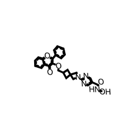 O=C(NO)c1cnc(N2CC3(CC(COc4c(-c5ccccc5)oc5ccccc5c4=O)C3)C2)nc1